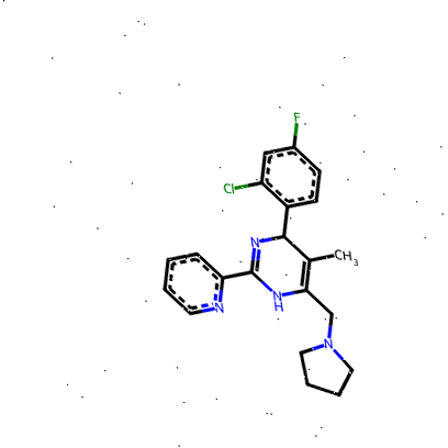 CC1=C(CN2CCCC2)NC(c2ccccn2)=NC1c1ccc(F)cc1Cl